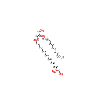 CCCCCCCCCCCCCCCCCC(=O)O.O=C(CCCCCCCCCCCCCCC(O)CO)OCC(O)CO